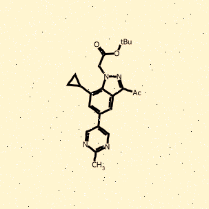 CC(=O)c1nn(CC(=O)OC(C)(C)C)c2c(C3CC3)cc(-c3cnc(C)nc3)cc12